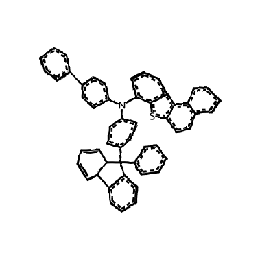 C1=CC2c3ccccc3C(c3ccccc3)(c3ccc(N(c4ccc(-c5ccccc5)cc4)c4cccc5c4sc4ccc6ccccc6c45)cc3)C2C=C1